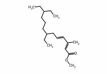 CCC(CC)CCCC(CC)CC=CC(C)=CC(=O)OC